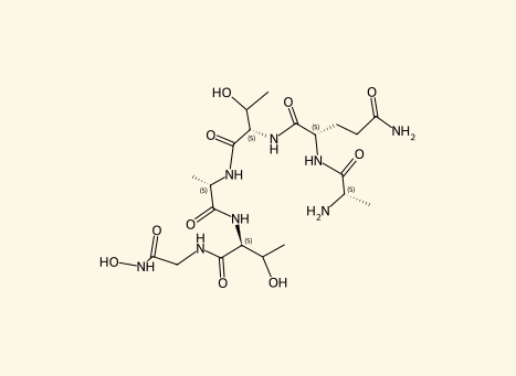 CC(O)[C@H](NC(=O)[C@H](C)NC(=O)[C@@H](NC(=O)[C@H](CCC(N)=O)NC(=O)[C@H](C)N)C(C)O)C(=O)NCC(=O)NO